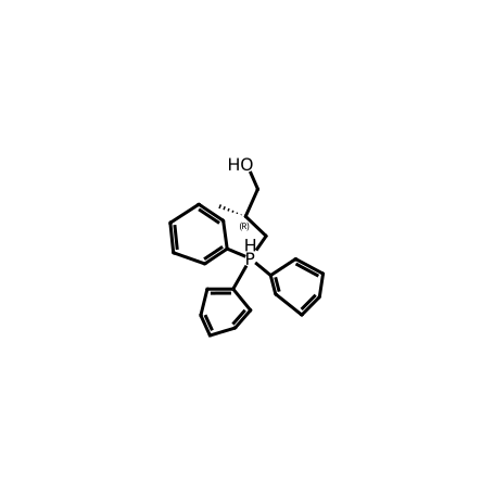 C[C@H](CO)C[PH](c1ccccc1)(c1ccccc1)c1ccccc1